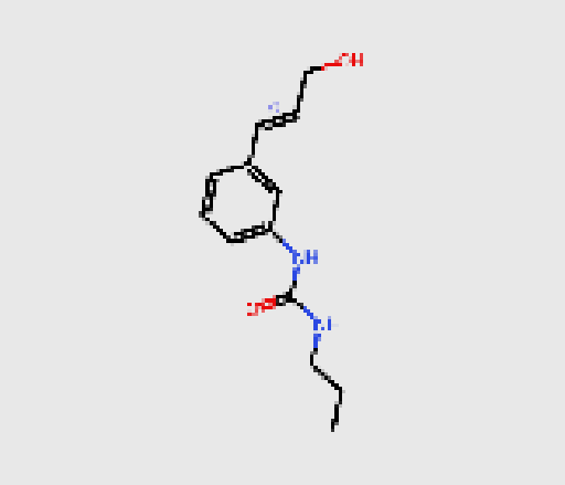 CCCNC(=O)Nc1cccc(/C=C/CO)c1